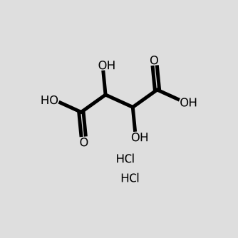 Cl.Cl.O=C(O)C(O)C(O)C(=O)O